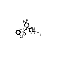 Cc1ncc(C2(CNC(=O)c3ccccc3Cl)CCC(F)(F)CC2)cn1